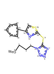 COCCCn1nnnc1Sc1nc(-c2ccccc2)cs1